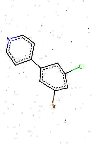 Clc1cc(Br)cc(-c2ccncc2)c1